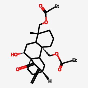 C=C1C(=O)[C@]23CC[C@H]1CC2[C@]1(COC(=O)CC)CCC[C@@](C)(COC(=O)CC)C1C[C@H]3O